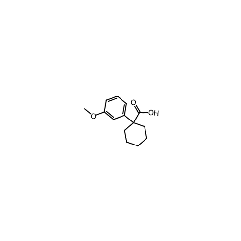 COc1cccc(C2(C(=O)O)CCCCC2)c1